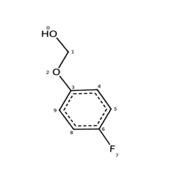 OCOc1ccc(F)cc1